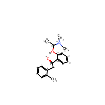 Cc1ccccc1CC(=O)c1ccccc1OC(C)N(C)C